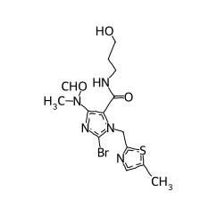 Cc1cnc(Cn2c(Br)nc(N(C)C=O)c2C(=O)NCCCO)s1